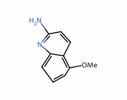 COc1cccc2nc(N)ccc12